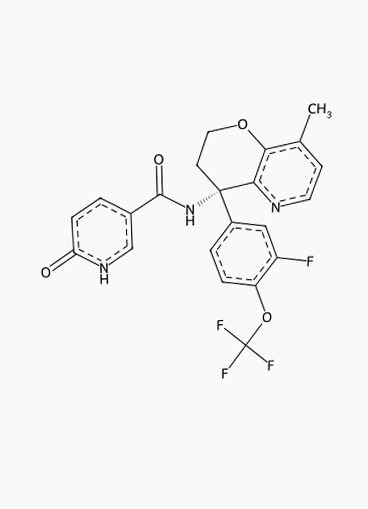 Cc1ccnc2c1OCC[C@]2(NC(=O)c1ccc(=O)[nH]c1)c1ccc(OC(F)(F)F)c(F)c1